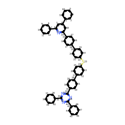 c1ccc(-c2cc(-c3ccccc3)nc(-c3ccc(-c4ccc(Sc5ccc(-c6ccc(-c7nc(-c8ccccc8)nc(-c8ccccc8)n7)cc6)cc5)cc4)cc3)c2)cc1